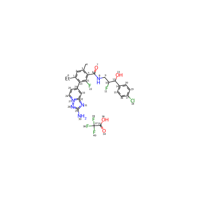 CCc1cc(C)c(C(=O)NCC(F)C(O)c2ccc(Cl)cc2)c(F)c1-c1ccn2nc(N)nc2c1.O=C(O)C(F)(F)F